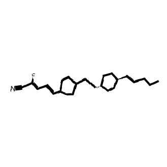 CCCCC[C@H]1CC[C@H](CCC2CCC(C=CC=C(F)C#N)CC2)CC1